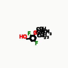 CC(C)(C)[Si](C)(C)Oc1cc(F)cc(CO)c1F